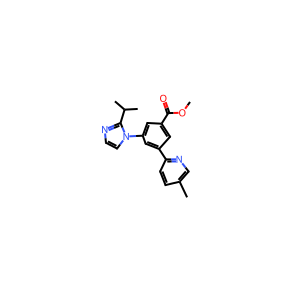 COC(=O)c1cc(-c2ccc(C)cn2)cc(-n2ccnc2C(C)C)c1